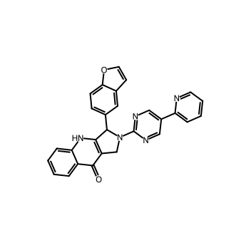 O=c1c2c([nH]c3ccccc13)C(c1ccc3occc3c1)N(c1ncc(-c3ccccn3)cn1)C2